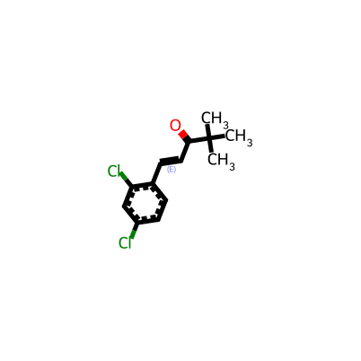 CC(C)(C)C(=O)/C=C/c1ccc(Cl)cc1Cl